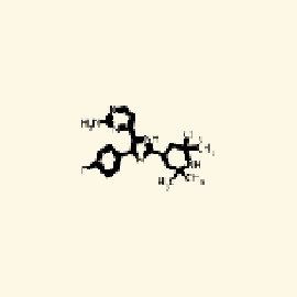 CC1(C)CC(c2nc(-c3ccc(F)cc3)c(-c3ccnc(N)n3)[nH]2)CC(C)(C)N1